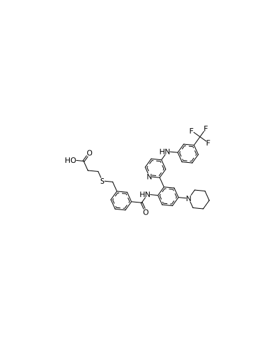 O=C(O)CCSCc1cccc(C(=O)Nc2ccc(N3CCCCC3)cc2-c2cc(Nc3cccc(C(F)(F)F)c3)ccn2)c1